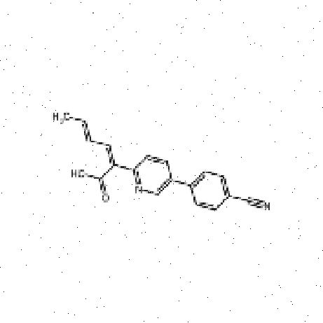 CC=CC=C(C(=O)O)c1ccc(-c2ccc(C#N)cc2)cn1